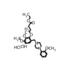 CCOC(=O)CCCOc1c(CN2CCN(c3ccccc3OC)CC2)ccc(OC)c1OC.Cl.Cl